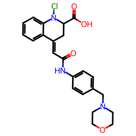 O=C(C=C1CC(C(=O)O)N(Cl)c2ccccc21)Nc1ccc(CN2CCOCC2)cc1